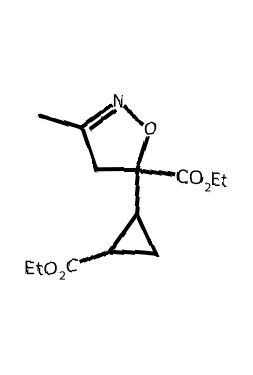 CCOC(=O)C1CC1C1(C(=O)OCC)CC(C)=NO1